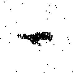 COC1=CCC2=C(C1)C[C@@H](C)[C@@H]1[C@@H]2CC[C@@]2(C)[C@@H]1C=C[C@H]2CO[Si](C)(C)C(C)(C)C